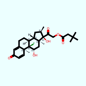 C[C@@H]1C[C@H]2[C@@H]3CCC4=CC(=O)C=C[C@]4(C)[C@@]3(F)[C@@H](O)C[C@]2(C)[C@@]1(O)C(=O)COC(=O)CC(C)(C)C